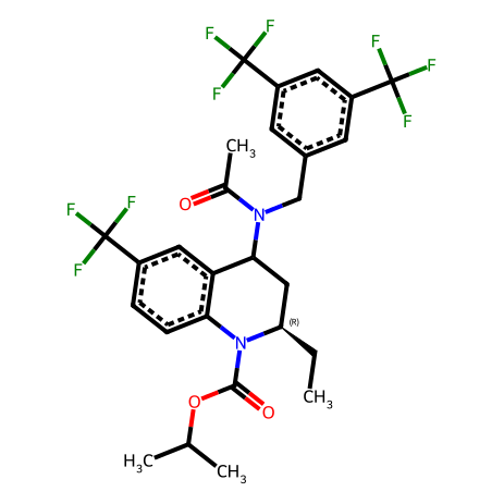 CC[C@@H]1CC(N(Cc2cc(C(F)(F)F)cc(C(F)(F)F)c2)C(C)=O)c2cc(C(F)(F)F)ccc2N1C(=O)OC(C)C